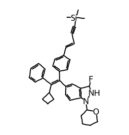 C[Si](C)(C)C#C/C=C/c1ccc(/C(=C(\c2ccccc2)C2CCC2)c2ccc3c(c2)C(F)NN3C2CCCCO2)cc1